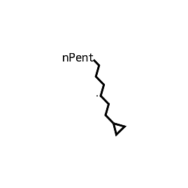 CCCCCCCC[CH]CCC1CC1